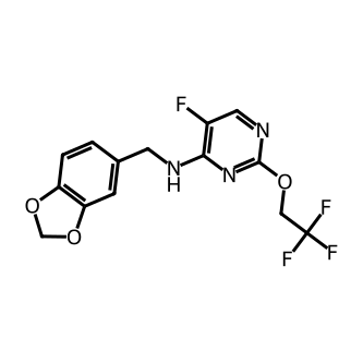 Fc1cnc(OCC(F)(F)F)nc1NCc1ccc2c(c1)OCO2